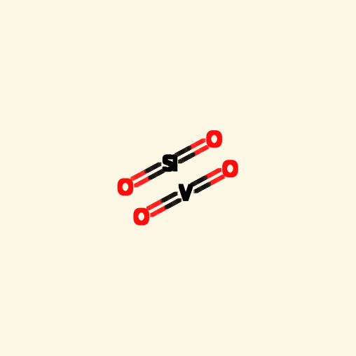 O=[Si]=O.[O]=[V]=[O]